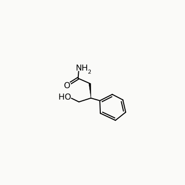 NC(=O)C[C@H](CO)c1ccccc1